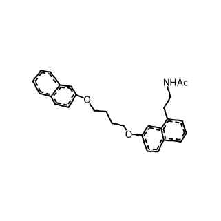 CC(=O)NCCc1cccc2ccc(OCCCCOc3ccc4ccc[c]c4c3)cc12